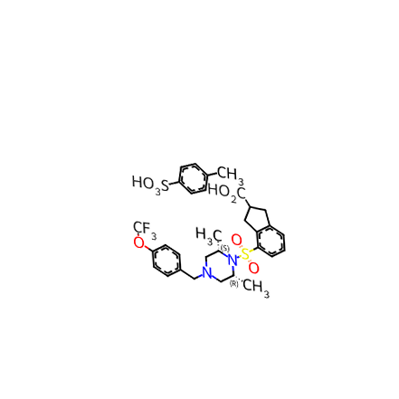 C[C@@H]1CN(Cc2ccc(OC(F)(F)F)cc2)C[C@H](C)N1S(=O)(=O)c1cccc2c1CC(C(=O)O)C2.Cc1ccc(S(=O)(=O)O)cc1